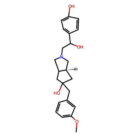 COc1cccc(CC2(O)CC3CN(CC(O)c4ccc(O)cc4)C[C@H]3C2)c1